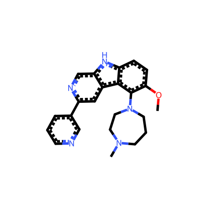 COc1ccc2[nH]c3cnc(-c4cccnc4)cc3c2c1N1CCCN(C)CC1